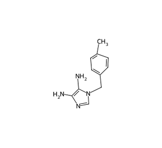 Cc1ccc(Cn2cnc(N)c2N)cc1